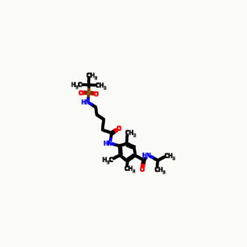 Cc1cc(C(=O)NC(C)C)c(C)c(C)c1NC(=O)CCCCNS(=O)(=O)C(C)(C)C